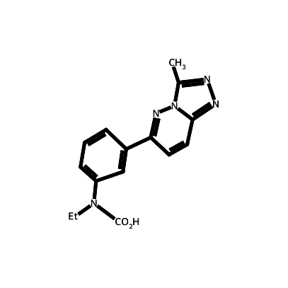 CCN(C(=O)O)c1cccc(-c2ccc3nnc(C)n3n2)c1